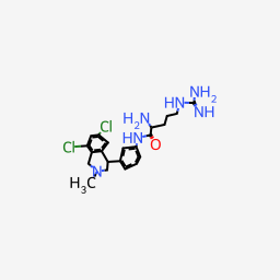 CN1Cc2c(Cl)cc(Cl)cc2C(c2cccc(NC(=O)C(N)CCCNC(=N)N)c2)C1